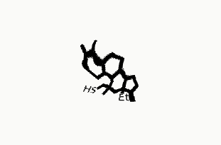 C=C1CCC2C3CCC4=C(C)C(C)=CCC4C3C(C)(CS)CC12CC